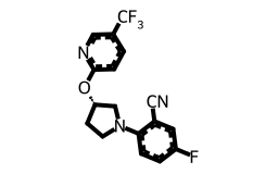 N#Cc1cc(F)ccc1N1CC[C@H](Oc2ccc(C(F)(F)F)cn2)C1